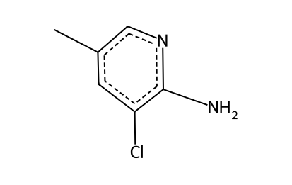 Cc1cnc(N)c(Cl)c1